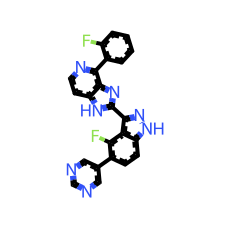 Fc1ccccc1-c1nccc2[nH]c(-c3n[nH]c4ccc(-c5cncnc5)c(F)c34)nc12